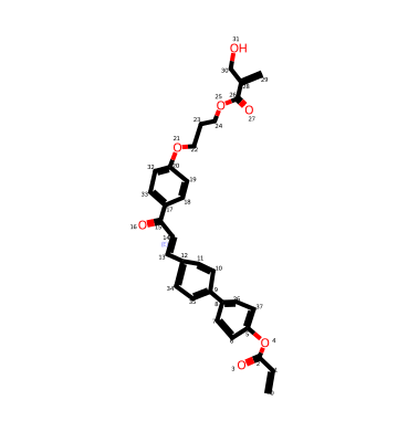 C=CC(=O)Oc1ccc(-c2ccc(/C=C/C(=O)c3ccc(OCCCOC(=O)C(=C)CO)cc3)cc2)cc1